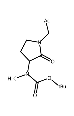 CC(=O)CN1CCC(N(C)C(=O)OC(C)(C)C)C1=O